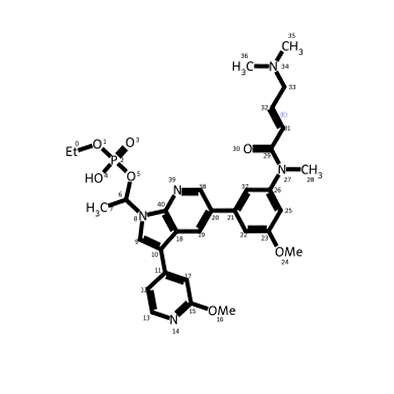 CCOP(=O)(O)OC(C)n1cc(-c2ccnc(OC)c2)c2cc(-c3cc(OC)cc(N(C)C(=O)/C=C/CN(C)C)c3)cnc21